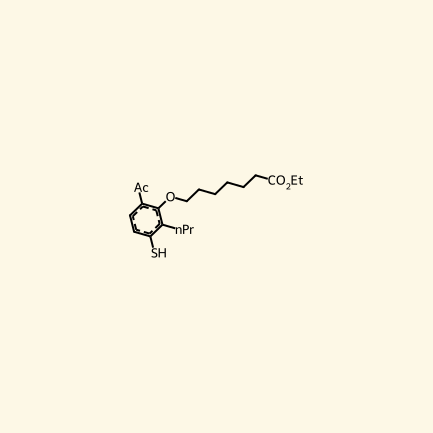 CCCc1c(S)ccc(C(C)=O)c1OCCCCCCC(=O)OCC